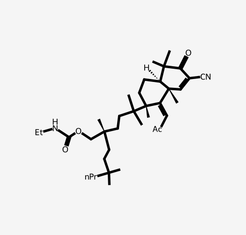 CCCC(C)(C)CC[C@@](C)(CCC(C)(C)[C@]1(C)CC[C@H]2C(C)(C)C(=O)C(C#N)=C[C@]2(C)/C1=C/C(C)=O)COC(=O)NCC